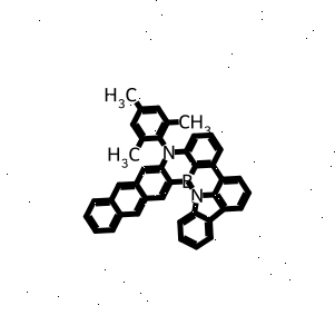 Cc1cc(C)c(N2c3cc4cc5ccccc5cc4cc3B3c4c(cccc42)-c2cccc4c5ccccc5n3c24)c(C)c1